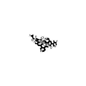 Cc1c(F)cncc1-c1cc2cnc(NC(=O)[C@H]3C[C@@H]3F)cc2n(CCc2ccncc2C2=Cc3cnc(NC(=O)C4CC4F)cc3NC2O)c1=O